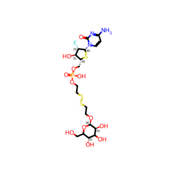 Nc1ccn([C@@H]2S[C@H](COP(=O)(O)OCCSSCCO[C@@H]3OC(CO)[C@@H](O)C(O)[C@@H]3O)[C@@H](O)[C@@H]2F)c(=O)n1